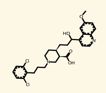 COc1ccc2nccc(C(O)CC[C@@H]3CCN(CCCc4c(Cl)cccc4Cl)C[C@@H]3C(=O)O)c2c1